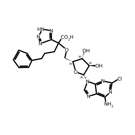 Nc1nc(Cl)nc2c1ncn2[C@@H]1O[C@H](COC(CCCc2ccccc2)(C(=O)O)c2nn[nH]n2)[C@H](O)[C@H]1O